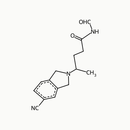 CC(CCC(=O)NC=O)N1Cc2ccc(C#N)cc2C1